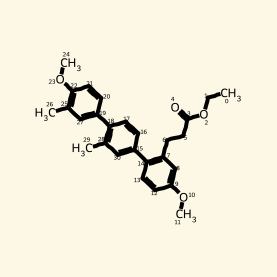 CCOC(=O)CCc1cc(OC)ccc1-c1ccc(-c2ccc(OC)c(C)c2)c(C)c1